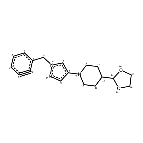 c1cccc(Cn2cc(N3CCC(C4OCCO4)CC3)cn2)c#1